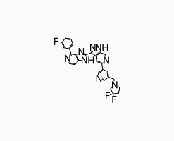 Fc1cccc(-c2nccc3[nH]c(-c4n[nH]c5cnc(-c6cncc(CN7CCC(F)(F)C7)c6)cc45)nc23)c1